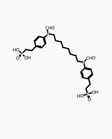 O=CN(CCCCCCCCN(C=O)c1ccc(CCP(=O)(O)O)cc1)c1ccc(CCP(=O)(O)O)cc1